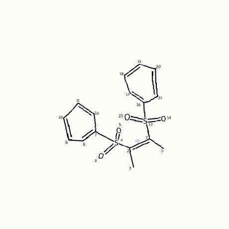 C/C(=C(\C)S(=O)(=O)c1ccccc1)S(=O)(=O)c1ccccc1